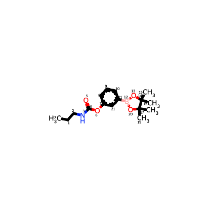 CCCNC(=O)Oc1cccc(B2OC(C)(C)C(C)(C)O2)c1